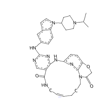 CC(C)N1CCC(n2ccc3cc(Nc4ncc5c(n4)Nc4ccc6c(n4)N(CCC/C=C\CNC5=O)C(=O)CO6)ccc32)CC1